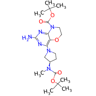 CN(C(=O)OC(C)(C)C)[C@@H]1CCN(c2nc(N)nc3c2OCCN3C(=O)OC(C)(C)C)C1